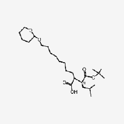 CC(C)C[C@H](C(=O)OC(C)(C)C)C(CCCCCCCCOC1CCCCO1)C(=O)O